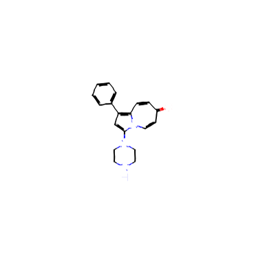 O=c1ccc2c(-c3ccccc3)cc(N3CCNCC3)n2cc1